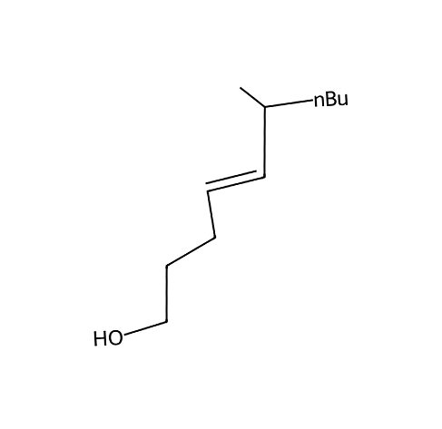 CCCCC(C)/C=C/CCCO